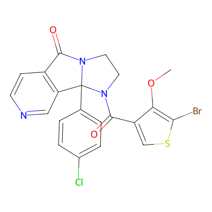 COc1c(C(=O)N2CCN3C(=O)c4ccncc4C32c2ccc(Cl)cc2)csc1Br